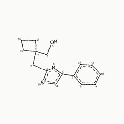 OCC1(Cc2nc(-c3ccccc3)cs2)CCC1